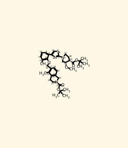 CO[C@H]1CN(c2nc(-c3cccc(C)c3OCc3ccc4c(c3C)CCN(C(=O)OC(C)(C)C)C4)cs2)CC[C@H]1C(=O)OC(C)(C)C